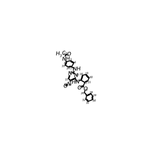 CC(=O)Nc1ccc(Nc2ncc(N=O)c(Nc3ccccc3C(=O)OCc3ccccc3)n2)cc1